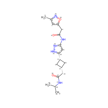 Cc1cc(CC(=O)Nc2cc([C@H]3C[C@@H](CC(=O)NC(C)C)C3)[nH]n2)on1